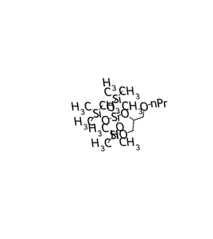 CCCOCC(CO)O[Si](O[Si](C)(C)C)(O[Si](C)(C)C)O[Si](C)(C)C